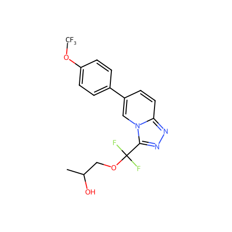 CC(O)COC(F)(F)c1nnc2ccc(-c3ccc(OC(F)(F)F)cc3)cn12